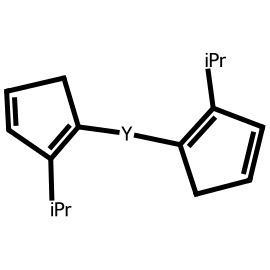 CC(C)C1=[C]([Y][C]2=C(C(C)C)C=CC2)CC=C1